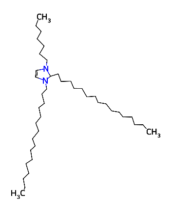 CCCCCCCCCCCCCCCCC1N(CCCCCCC)C=CN1CCCCCCCCCCCCCCCC